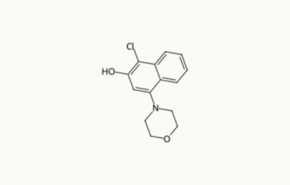 Oc1cc(N2CCOCC2)c2ccccc2c1Cl